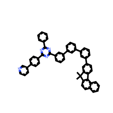 CC1(C)c2cc(-c3cccc(-c4cccc(-c5cccc(-c6nc(-c7ccccc7)nc(-c7ccc(-c8cccnc8)cc7)n6)c5)c4)c3)ccc2-c2c1ccc1ccccc21